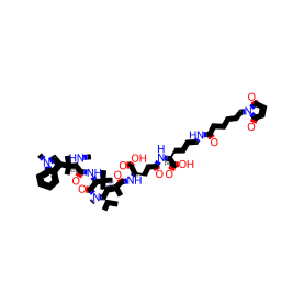 CN[C@H](C(=O)NC(C(=O)N(C)[C@H](/C=C(\C)C(=O)N[C@H](CCC(=O)N[C@@H](CCCCNC(=O)CCCCCN1C(=O)C=CC1=O)C(=O)O)C(=O)O)C(C)C)C(C)(C)C)C(C)(C)c1cn(C)c2ccccc12